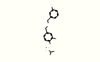 O=P(O)(Oc1ccc(CSCc2cccc(Br)c2)cc1Br)C(F)F